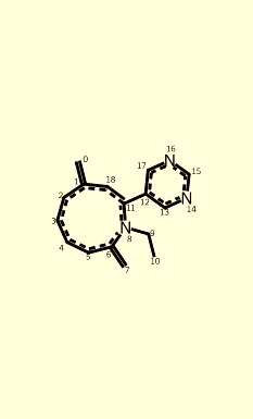 C=c1ccccc(=C)n(CC)c(-c2cncnc2)c1